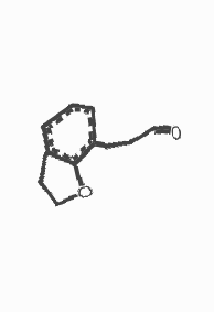 O=CCc1cccc2c1OCC2